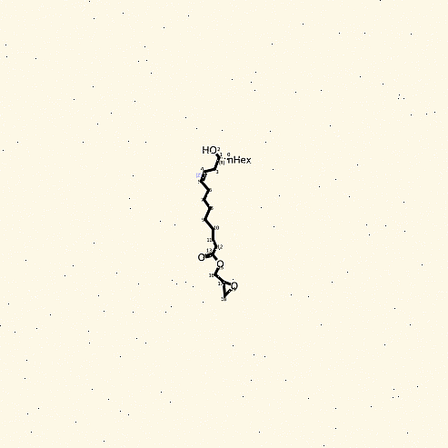 CCCCCC[C@@H](O)C/C=C\CCCCCCCC(=O)OCC1CO1